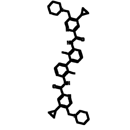 Cc1c(NC(=O)c2cc(C3CC3)c(CN3CCCCC3)cn2)cccc1-c1cccc(NC(=O)c2cc(C3CC3)c(CN3CCCCC3)cn2)c1C